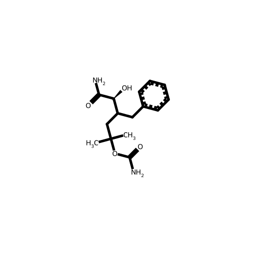 CC(C)(CC(Cc1ccccc1)[C@H](O)C(N)=O)OC(N)=O